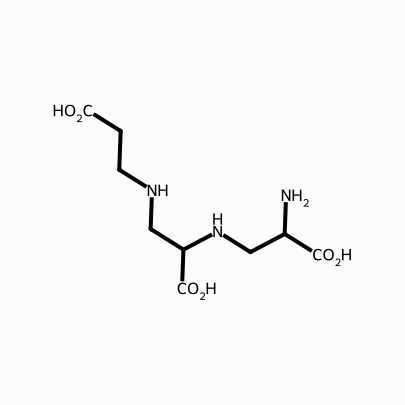 NC(CNC(CNCCC(=O)O)C(=O)O)C(=O)O